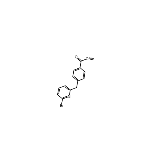 COC(=O)c1ccc(Cc2cccc(Br)n2)cc1